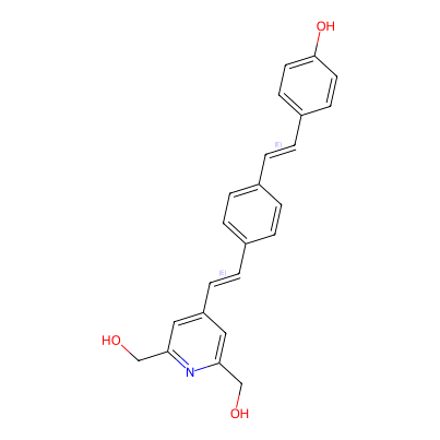 OCc1cc(/C=C/c2ccc(/C=C/c3ccc(O)cc3)cc2)cc(CO)n1